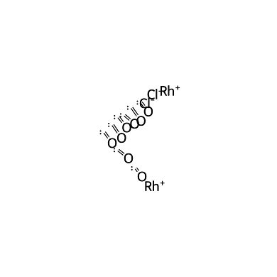 [C]=O.[C]=O.[C]=O.[C]=O.[C]=O.[C]=O.[C]=O.[C]=O.[Cl-].[Cl-].[Rh+].[Rh+]